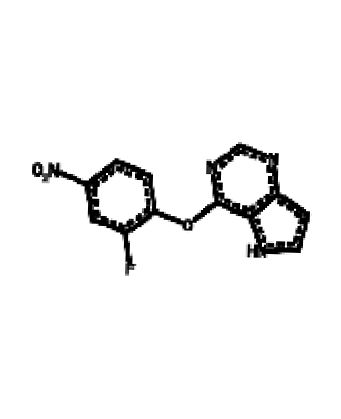 O=[N+]([O-])c1ccc(Oc2ncnc3cc[nH]c23)c(F)c1